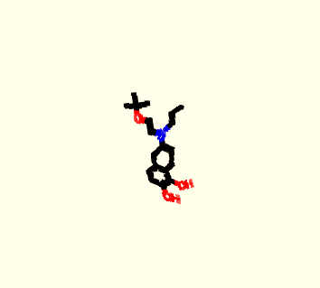 CCCN(CCOC(C)(C)C)C1CCc2c(ccc(O)c2O)C1